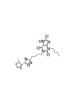 CCCCn1c(=O)n(CCCCc2noc(-c3sccc3C)n2)c(=O)c2[nH]c(Cl)nc21